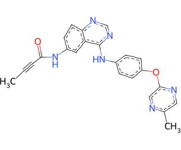 CC#CC(=O)Nc1ccc2ncnc(Nc3ccc(Oc4cnc(C)cn4)cc3)c2c1